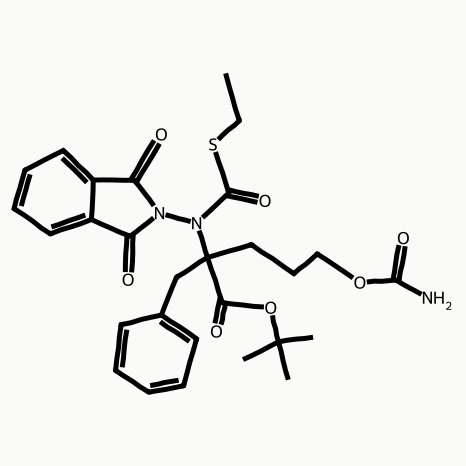 CCSC(=O)N(N1C(=O)c2ccccc2C1=O)C(CCCOC(N)=O)(Cc1ccccc1)C(=O)OC(C)(C)C